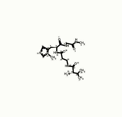 CNC(=O)CNC(=O)[C@H](Cc1cncn1C)NC(=O)CCNC(=O)[C@@H](N)C(C)C